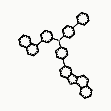 c1ccc(-c2ccc(N(c3ccc(-c4ccc5oc6c7ccccc7ccc6c5c4)cc3)c3cccc(-c4cccc5ccccc45)c3)cc2)cc1